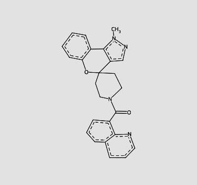 Cn1ncc2c1-c1ccccc1OC21CCN(C(=O)c2cccc3cccnc23)CC1